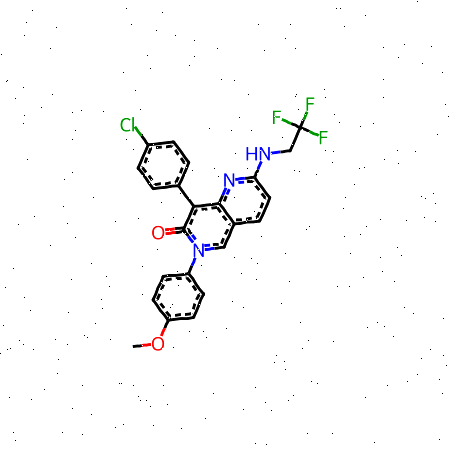 COc1ccc(-n2cc3ccc(NCC(F)(F)F)nc3c(-c3ccc(Cl)cc3)c2=O)cc1